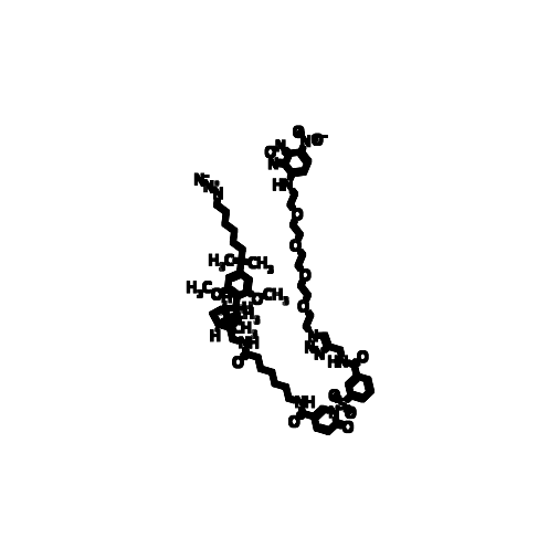 COc1cc(C(C)(C)CCCCCCN=[N+]=[N-])cc(OC)c1[C@H]1C=C(CNC(=O)CCCCCCNC(=O)c2ccc(=O)n(S(=O)(=O)c3cccc(C(=O)NCc4cn(CCOCCOCCOCCOCCNc5ccc([N+](=O)[O-])c6nonc56)nn4)c3)c2)[C@H]2C[C@@H]1C2(C)C